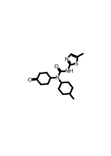 Cc1cnc(NC(=O)N(C2CCC(=O)CC2)C2CCC(C)CC2)s1